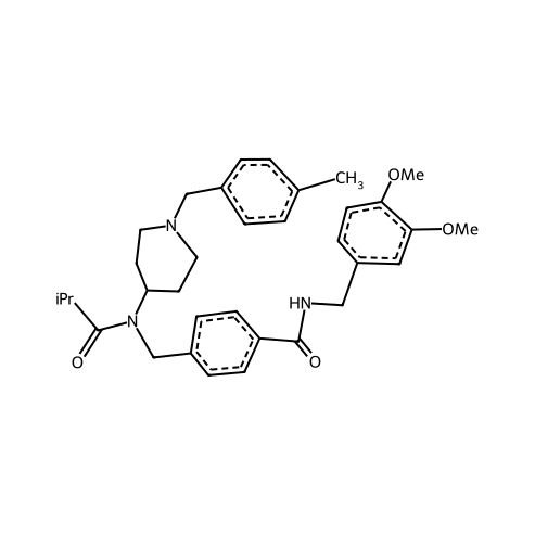 COc1ccc(CNC(=O)c2ccc(CN(C(=O)C(C)C)C3CCN(Cc4ccc(C)cc4)CC3)cc2)cc1OC